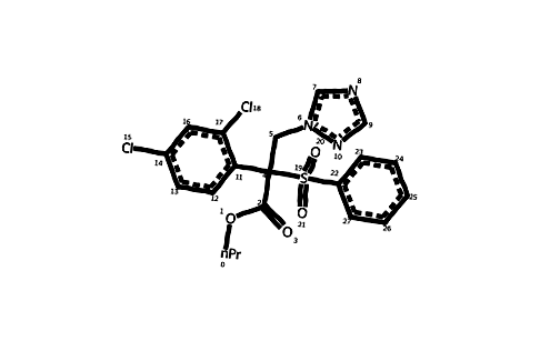 CCCOC(=O)C(Cn1cncn1)(c1ccc(Cl)cc1Cl)S(=O)(=O)c1ccccc1